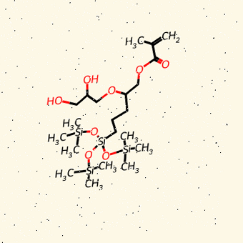 C=C(C)C(=O)OCC(CCC[Si](O[Si](C)(C)C)(O[Si](C)(C)C)O[Si](C)(C)C)OCC(O)CO